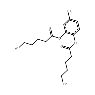 Cc1ccc(OC(=O)CCCCC(C)C)c(OC(=O)CCCCC(C)C)c1